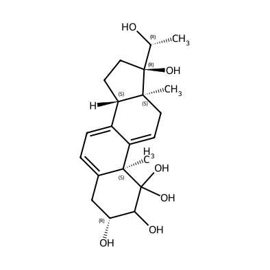 C[C@@H](O)[C@@]1(O)CC[C@H]2C3=CC=C4C[C@@H](O)C(O)C(O)(O)[C@]4(C)C3=CC[C@@]21C